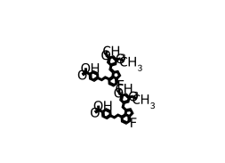 COc1cc(C=C2CCc3c(F)ccc(CCc4ccc(C(=O)O)cc4)c32)cc(OC)c1.COc1cc(CC2=CCc3c(F)ccc(CCc4ccc(C(=O)O)cc4)c32)cc(OC)c1